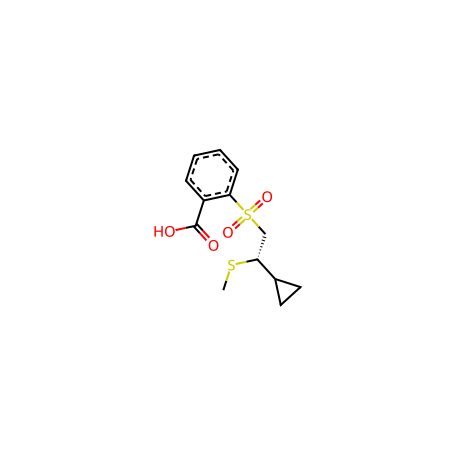 CS[C@H](CS(=O)(=O)c1ccccc1C(=O)O)C1CC1